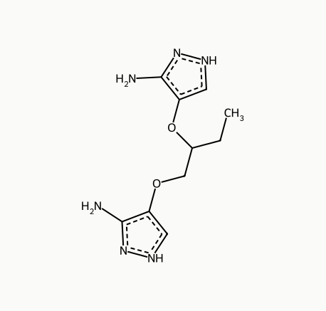 CCC(COc1c[nH]nc1N)Oc1c[nH]nc1N